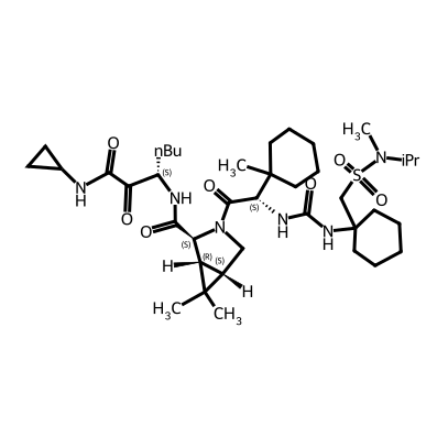 CCCC[C@H](NC(=O)[C@@H]1[C@@H]2[C@H](CN1C(=O)[C@@H](NC(=O)NC1(CS(=O)(=O)N(C)C(C)C)CCCCC1)C1(C)CCCCC1)C2(C)C)C(=O)C(=O)NC1CC1